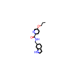 CCCOc1ccc(C(=O)NCc2ccc3cc[nH]c3c2)nc1